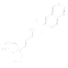 O=S(=O)(NCCC[Si](CO)(CO)CO)c1ccc2ccccc2c1